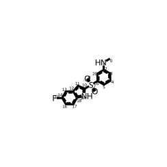 CNc1cccc(S(=O)(=O)c2cc3cc(F)ccc3[nH]2)c1